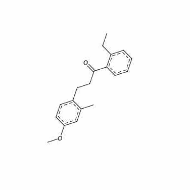 CCc1ccccc1C(=O)CCc1ccc(OC)cc1C